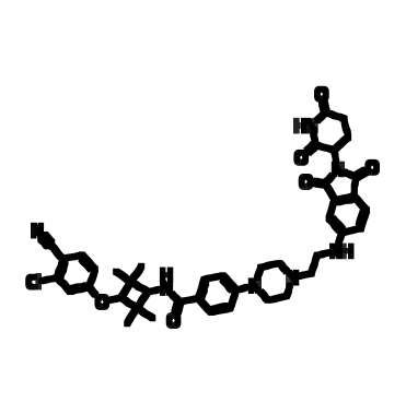 CC1(C)C(NC(=O)c2ccc(N3CCN(CCNc4ccc5c(c4)C(=O)N(C4CCC(=O)NC4=O)C5=O)CC3)cc2)C(C)(C)C1Oc1ccc(C#N)c(Cl)c1